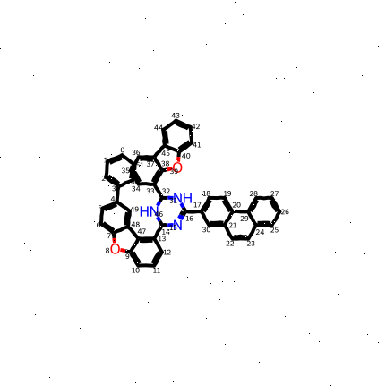 c1ccc(-c2ccc3oc4cccc(C5N=C(c6ccc7c(ccc8ccccc87)c6)NC(c6cccc7c6oc6ccccc67)N5)c4c3c2)cc1